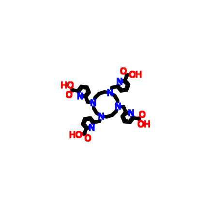 O=C(O)c1cccc(CN2CCCN(Cc3cccc(C(=O)O)n3)CCN(Cc3cccc(C(=O)O)n3)CCCN(Cc3cccc(C(=O)O)n3)CC2)n1